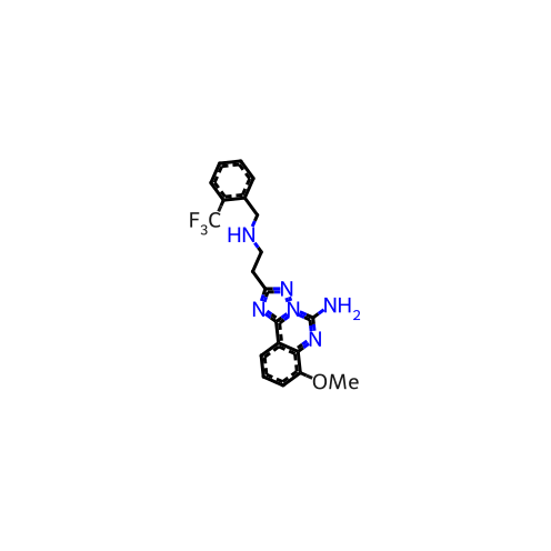 COc1cccc2c1nc(N)n1nc(CCNCc3ccccc3C(F)(F)F)nc21